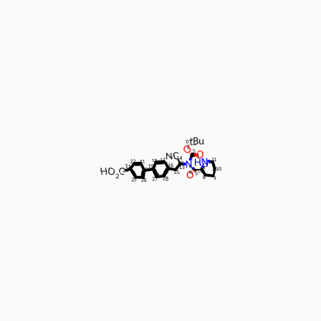 CC(C)(C)OC(=O)N(C(=O)[C@@H]1CCCCN1)[C@H](C#N)Cc1ccc(-c2ccc(C(=O)O)cc2)cc1